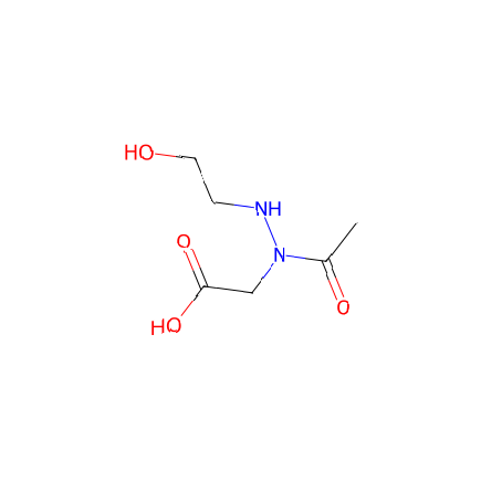 CC(=O)N(CC(=O)O)NCCO